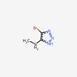 C[SiH2]c1[nH]nnc1Br